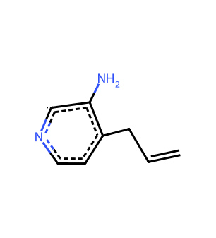 C=CCc1ccn[c]c1N